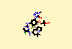 Cn1nnn(-c2cc(Nc3ncc(Cl)c(N[C@@H]4C[C@H]5CCCN5C(C)(C)C4)n3)c(F)cc2OCC(C)(C)O)c1=O